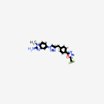 Cn1c(N)nc2cc(-n3cc(Cc4ccc(-c5nnc(C(F)F)o5)cc4)nn3)ccc21